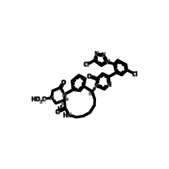 O=C1NCCCCC[C@H](n2cnc(-c3cc(Cl)ccc3-n3cc(Cl)nn3)cc2=O)c2cccc(c2)N2C(=O)CN(C(=O)O)C[C@H]12